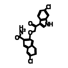 NC(=O)c1cc2cc(Cl)ccc2cc1OCC(=O)c1c[nH]c2cc(Cl)ccc12